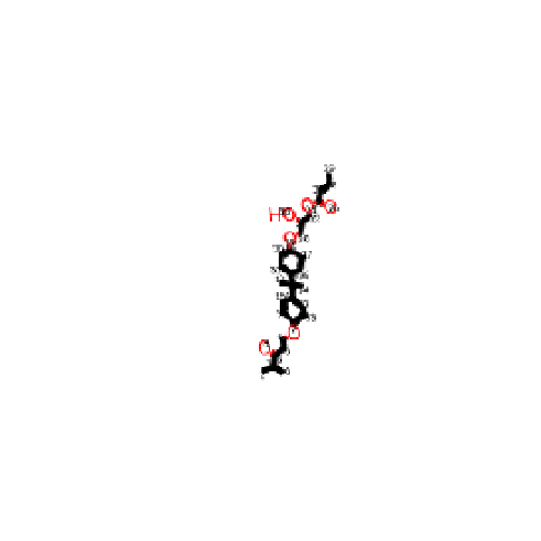 C=C(C)C(=O)CCOc1ccc(C(C)(C)c2ccc(OCC(O)COC(=O)C=CC)cc2)cc1